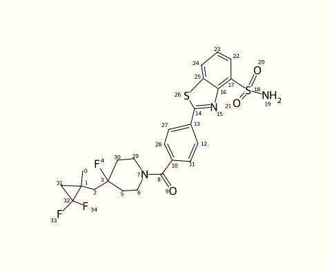 CC1(CC2(F)CCN(C(=O)c3ccc(-c4nc5c(S(N)(=O)=O)cccc5s4)cc3)CC2)CC1(F)F